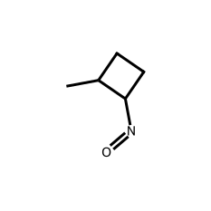 CC1CCC1N=O